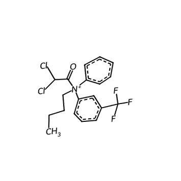 CCCC[N+](C(=O)C(Cl)Cl)(c1ccccc1)c1cccc(C(F)(F)F)c1